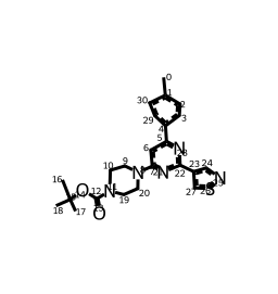 Cc1ccc(-c2cc(N3CCN(C(=O)OC(C)(C)C)CC3)nc(-c3cnsc3)n2)cc1